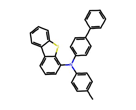 Cc1ccc(N(c2ccc(-c3ccccc3)cc2)c2cccc3c2sc2ccccc23)cc1